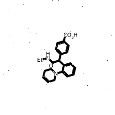 CCNC(=O)C(c1ccc(C(=O)O)cc1)c1ccccc1N1CC=CCC1